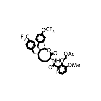 COc1ccnc(C(=O)N[C@H]2CCC[C@H](Cc3ccc(C(F)(F)F)cc3)[C@@H](Cc3ccc(OC(F)(F)F)cc3)[C@H](C)OC2=O)c1OCOC(C)=O